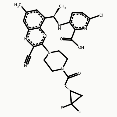 Cc1cc([C@@H](C)Nc2ccc(Cl)nc2C(=O)O)c2nc(N3CCN(C(=O)C[C@@H]4CC4(F)F)CC3)c(C#N)nc2c1